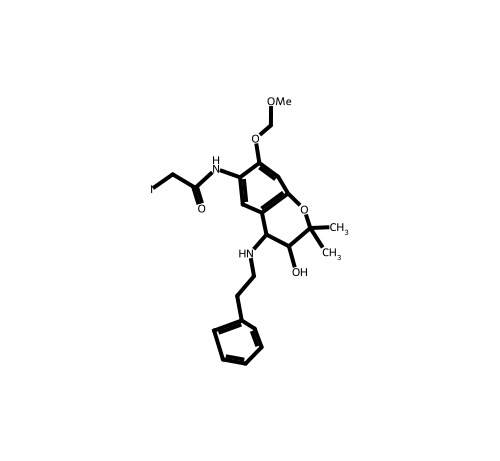 COCOc1cc2c(cc1NC(=O)CI)C(NCCc1ccccc1)C(O)C(C)(C)O2